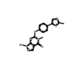 Cc1ncc(-c2ccc(Oc3nc4c(cnn4C(C)C)c(=O)n3C)cc2)s1